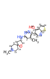 Cc1cc(NC2COC3(CCN(C)CC3)C2)nnc1-c1cnc2sccc2c1O